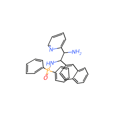 NC(c1ccccn1)C(NP(=O)(c1ccccc1)c1ccccc1)c1ccc2ccccc2c1